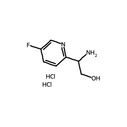 Cl.Cl.NC(CO)c1ccc(F)cn1